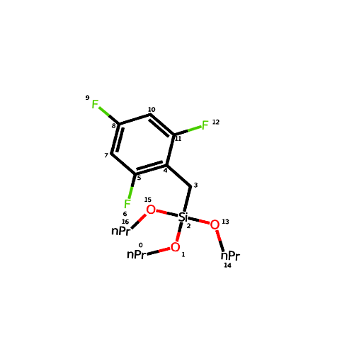 CCCO[Si](Cc1c(F)cc(F)cc1F)(OCCC)OCCC